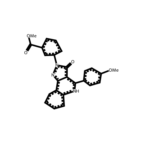 COC(=O)c1cccc(-n2nc3c4ccccc4[nH]c(-c4ccc(OC)cc4)c-3c2=O)c1